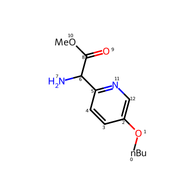 CCCCOc1ccc(C(N)C(=O)OC)nc1